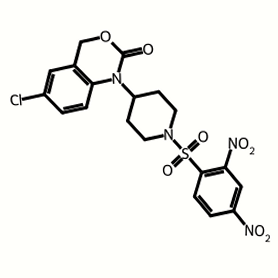 O=C1OCc2cc(Cl)ccc2N1C1CCN(S(=O)(=O)c2ccc([N+](=O)[O-])cc2[N+](=O)[O-])CC1